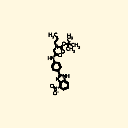 CCCN(CC(=O)Nc1ccc(-c2nc3c([N+](=O)[O-])cccc3[nH]2)cc1)C(=O)OC(C)(C)C